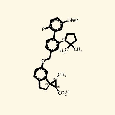 COc1ccc(F)c(-c2ccc(COc3ccc4c(c3)[C@]3(CC4)[C@H](C)[C@H]3C(=O)O)cc2[C@H]2CCCC2(C)C)c1